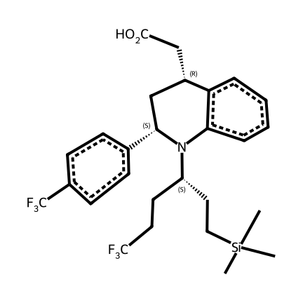 C[Si](C)(C)CC[C@H](CCC(F)(F)F)N1c2ccccc2[C@@H](CC(=O)O)C[C@H]1c1ccc(C(F)(F)F)cc1